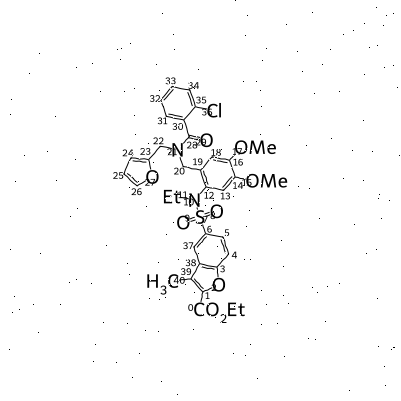 CCOC(=O)c1oc2ccc(S(=O)(=O)N(CC)c3cc(OC)c(OC)cc3CN(Cc3ccco3)C(=O)c3ccccc3Cl)cc2c1C